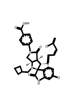 C=C(Cl)/C=C\C=C(/F)[C@H]1[C@@H]2C(=O)N(c3ccc(C(=O)OC)cc3)C[C@@H]2N(CC2CCC2)[C@@]12C(=O)Nc1cc(Cl)ccc12